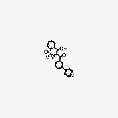 CN1C(C(=O)c2cccc(-c3ccncc3)c2)=C(O)c2ccccc2S1(=O)=O